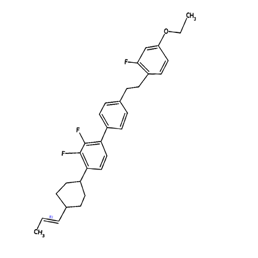 C/C=C/C1CCC(c2ccc(-c3ccc(CCc4ccc(OCC)cc4F)cc3)c(F)c2F)CC1